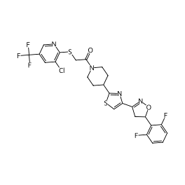 O=C(CSc1ncc(C(F)(F)F)cc1Cl)N1CCC(c2nc(C3=NOC(c4c(F)cccc4F)C3)cs2)CC1